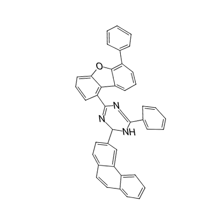 c1ccc(C2=NC(c3cccc4oc5c(-c6ccccc6)cccc5c34)=NC(c3ccc4ccc5ccccc5c4c3)N2)cc1